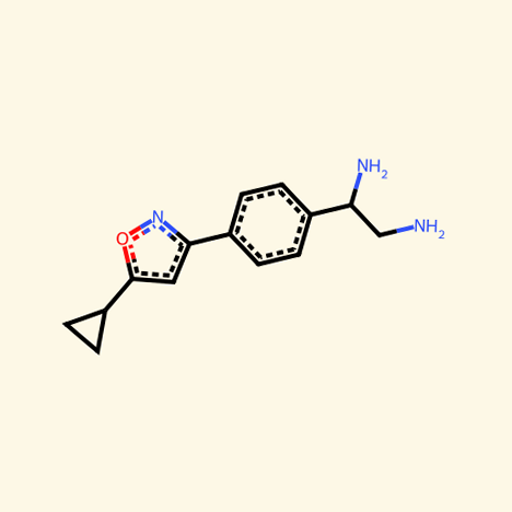 NCC(N)c1ccc(-c2cc(C3CC3)on2)cc1